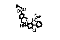 O=S(=O)(CC1CC1)c1ccc(Cc2nc3c(Cl)c(-c4ccccc4OC(F)F)c(Cl)cc3[nH]2)c(F)c1